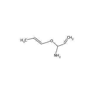 C=CC(N)OC=CC